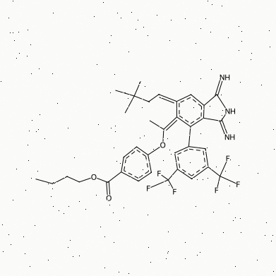 CCCCOC(=O)c1ccc(O/C(C)=c2\c(-c3cc(C(F)(F)F)cc(C(F)(F)F)c3)c3c(c\c2=C\CC(C)(C)C)C(=N)NC3=N)cc1